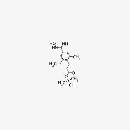 CCc1cc(C(=N)NO)cc(C)c1CCC(=O)OC(C)(C)C